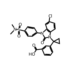 CN(C)S(=O)(=O)c1ccc(-n2c(=O)n(C3(c4cccc(C(=O)O)c4)CC3)c3ccc(Cl)cc32)cc1